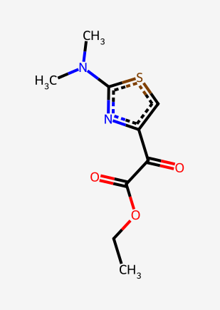 CCOC(=O)C(=O)c1csc(N(C)C)n1